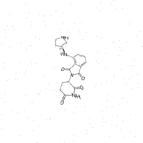 O=C1CCC(N2C(=O)c3cccc(N[C@H]4CCNC4)c3C2=O)C(=O)N1